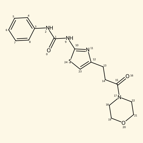 O=C(Nc1ccccc1)Nc1nc(CCC(=O)N2CCOCC2)cs1